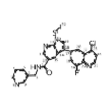 O=C(NCc1cccnc1)c1cnc2c(c1)c(-c1cc(F)c3nccc(Cl)c3c1)cn2SI